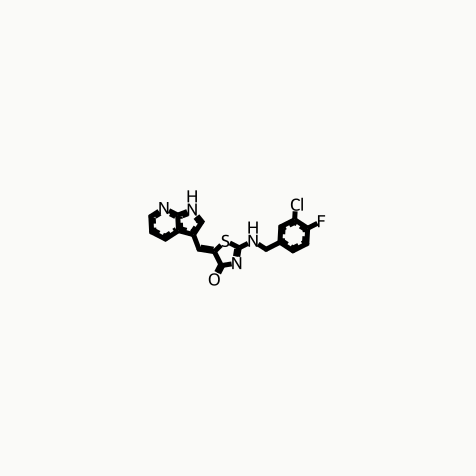 O=C1N=C(NCc2ccc(F)c(Cl)c2)S/C1=C\c1c[nH]c2ncccc12